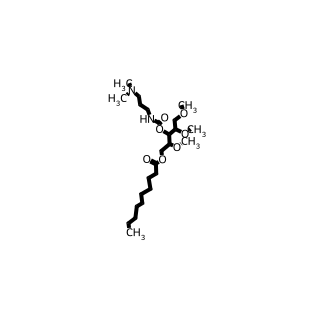 CCCCCCCCCC(=O)OCC(OC)C(OC(=O)NCCCN(C)C)C(COC)OC